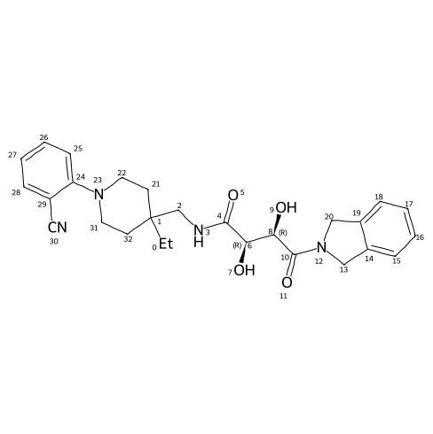 CCC1(CNC(=O)[C@H](O)[C@@H](O)C(=O)N2Cc3ccccc3C2)CCN(c2ccccc2C#N)CC1